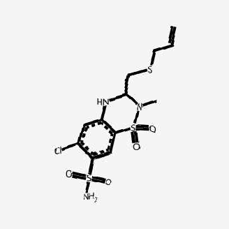 C=CCSCC1Nc2cc(Cl)c(S(N)(=O)=O)cc2S(=O)(=O)N1C